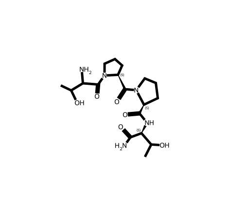 CC(O)C(N)C(=O)N1CCC[C@H]1C(=O)N1CCC[C@H]1C(=O)N[C@H](C(N)=O)C(C)O